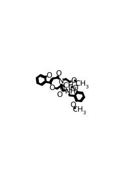 COCCN1C(=O)c2oc3ccccc3c2OCC1(C)C(=O)NCc1c(OC)cccc1OC